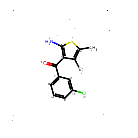 CCc1c(C)sc(N)c1C(=O)c1cccc(Cl)c1